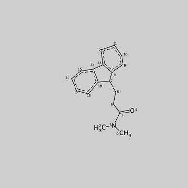 CN(C)C(=O)CCC1c2ccccc2-c2ccccc21